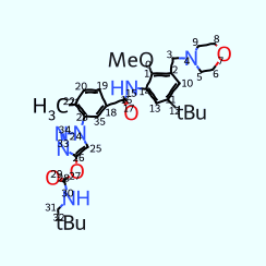 COc1c(CN2CCOCC2)cc(C(C)(C)C)cc1NC(=O)c1ccc(C)c(-n2cc(OC(=O)NCC(C)(C)C)nn2)c1